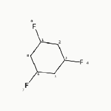 FC1CC(F)CC(F)C1